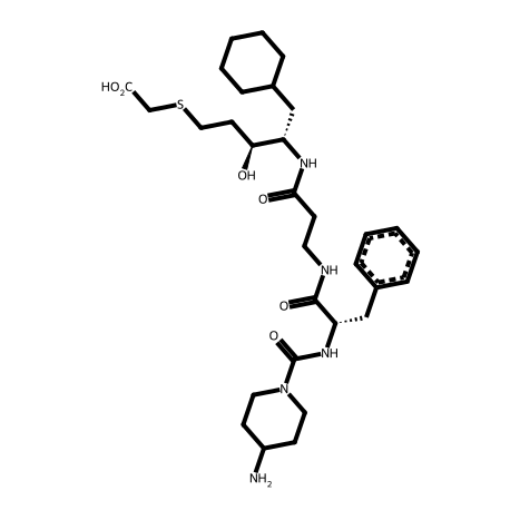 NC1CCN(C(=O)N[C@@H](Cc2ccccc2)C(=O)NCCC(=O)N[C@@H](CC2CCCCC2)[C@@H](O)CCSCC(=O)O)CC1